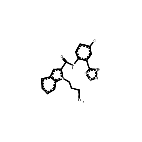 CCCCn1c(C(=O)Nc2ccc(Cl)cc2-c2nnn[nH]2)cc2ccccc21